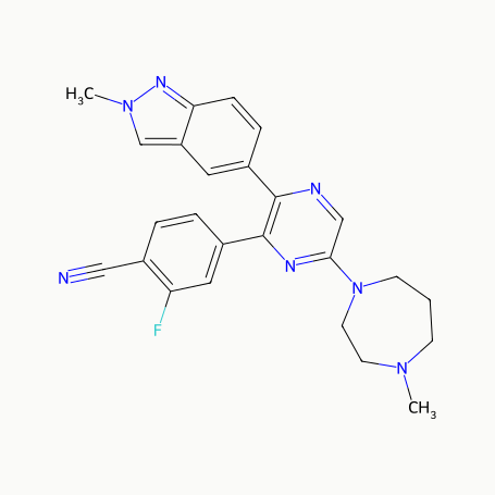 CN1CCCN(c2cnc(-c3ccc4nn(C)cc4c3)c(-c3ccc(C#N)c(F)c3)n2)CC1